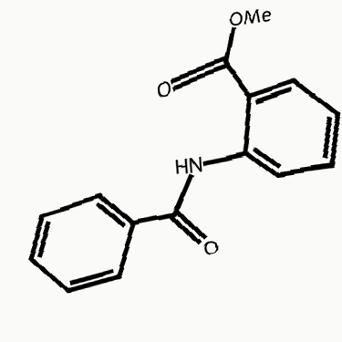 COC(=O)c1ccccc1NC(=O)c1ccccc1